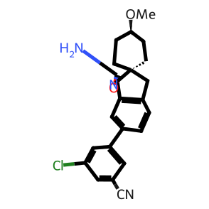 CO[C@H]1CC[C@]2(CC1)Cc1ccc(-c3cc(Cl)cc(C#N)c3)cc1C21COC(N)=N1